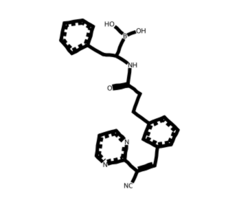 N#CC(=Cc1cccc(CCC(=O)NC(Cc2ccccc2)B(O)O)c1)c1ncccn1